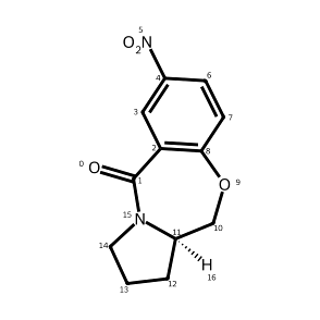 O=C1c2cc([N+](=O)[O-])ccc2OC[C@H]2CCCN12